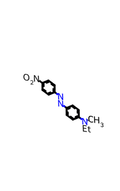 CCN(C)c1ccc(N=Nc2ccc([N+](=O)[O-])cc2)cc1